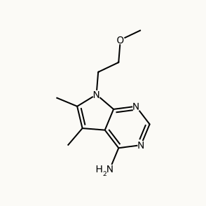 COCCn1c(C)c(C)c2c(N)ncnc21